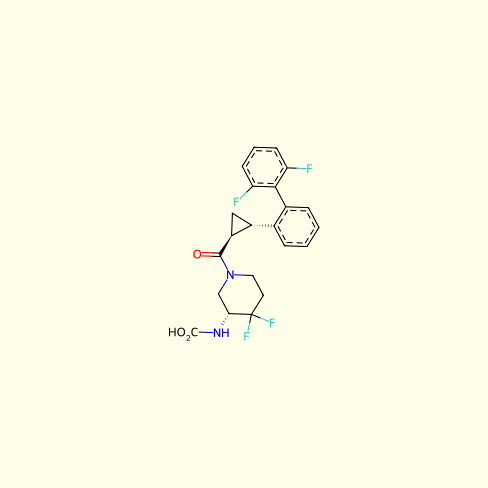 O=C(O)N[C@@H]1CN(C(=O)[C@H]2C[C@@H]2c2ccccc2-c2c(F)cccc2F)CCC1(F)F